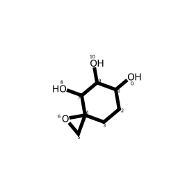 OC1CCC2(CO2)C(O)C1O